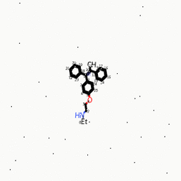 CCNCCOc1ccc(/C(=C(/C)c2ccccc2)c2ccccc2)cc1